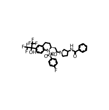 O=C(NC1CCN(C(=O)C[C@@H]2CCc3cc(C(O)(C(F)(F)F)C(F)(F)F)ccc3N2S(=O)(=O)c2ccc(F)cc2)C1)c1ccccc1